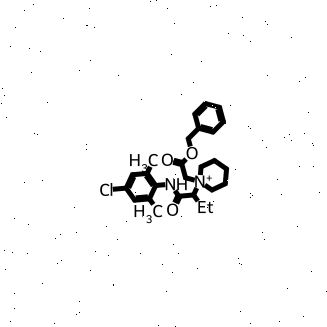 CCC(C(=O)Nc1c(C)cc(Cl)cc1C)[N+]1(CC(=O)OCc2ccccc2)CCCCC1